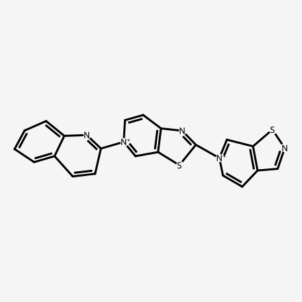 c1ccc2nc(-[n+]3ccc4nc(-[n+]5ccc6cnsc6c5)sc4c3)ccc2c1